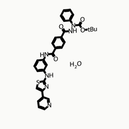 CC(C)(C)OC(=O)N(NC(=O)c1ccc(C(=O)Nc2cccc(Nc3nc(-c4cccnc4)cs3)c2)cc1)c1ccccc1.O